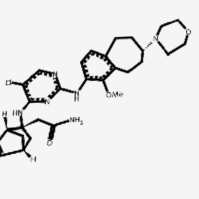 COc1c(Nc2ncc(Cl)c(N[C@]3(CC(N)=O)C[C@@H]4C=C[C@H]3C4)n2)ccc2c1CC[C@@H](N1CCOCC1)CC2